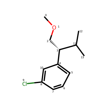 COC[C@@H](c1cccc(Cl)c1)C(C)C